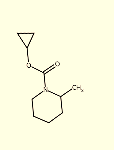 CC1CCCCN1C(=O)OC1CC1